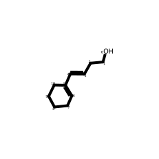 OCCC=CC1=CCCCC1